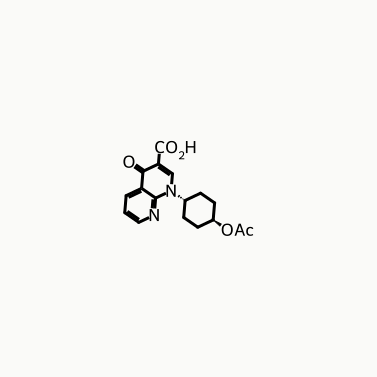 CC(=O)O[C@H]1CC[C@H](n2cc(C(=O)O)c(=O)c3cccnc32)CC1